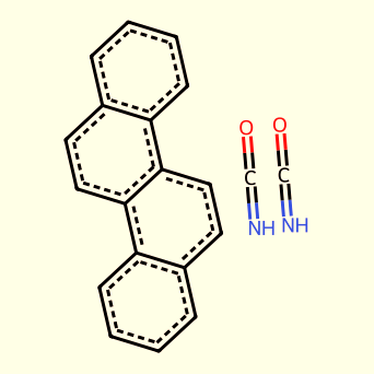 N=C=O.N=C=O.c1ccc2c(c1)ccc1c3ccccc3ccc21